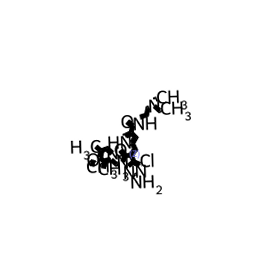 CCN(CC)CCCNC(=O)c1c[nH]c(/C=C2\C(=O)N(Cc3ncc(C)c(OC)c3C)c3nc(N)nc(Cl)c32)c1